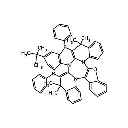 CC(C)(C)c1cc2c3c(c1)B(c1ccccc1)C1=c4n-3c3n(c5oc6ccccc6c5n4-c4ccccc4C1(C)C)-c1ccccc1C(C)(C)C=3B2c1ccccc1